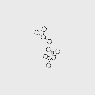 C1=CC(c2cccc(-c3ccc4c5ccccc5c5ccccc5c4c3)c2)=CC(n2c3ccccc3c3ccc4c(c5ccccc5n4-c4ccccc4)c32)C1